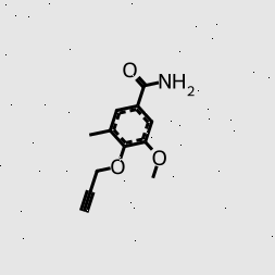 C#CCOc1c(C)cc(C(N)=O)cc1OC